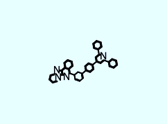 C1=CC(c2nc3c(nc4ccccn43)c3ccccc23)CC(c2ccc(-c3cc(-c4ccccc4)nc(-c4ccccc4)c3)cc2)=C1